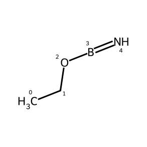 CCOB=N